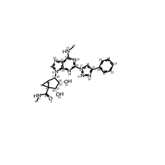 CNC(=O)C12CC1[C@@H](n1cnc3c(NC)nc(-n4cc(-c5ccccc5)nn4)nc31)[C@H](O)[C@@H]2O